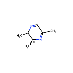 CC1=N[C@@H](C)C(C)N=C1